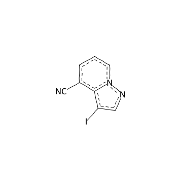 N#Cc1cccn2ncc(I)c12